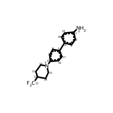 Nc1ccc(-c2ccc(N3CCC(C(F)(F)F)CC3)cc2)cc1